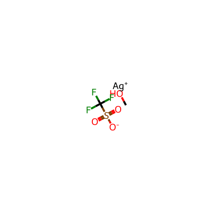 CO.O=S(=O)([O-])C(F)(F)F.[Ag+]